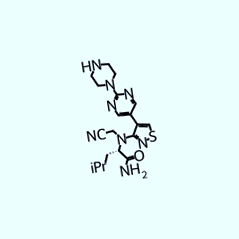 CC(C)C[C@@H](C(N)=O)N(CC#N)c1nscc1-c1cnc(N2CCNCC2)nc1